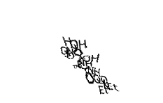 CCN(CC)C(=O)COc1cccc2c(C[C@@H](C)NC[C@@H](O)c3ccc(O)c(NS(C)(=O)=O)c3)c[nH]c12